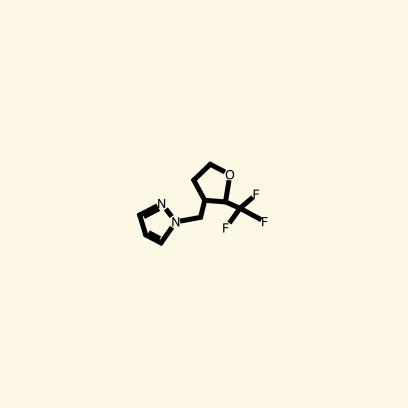 FC(F)(F)C1OCCC1Cn1cccn1